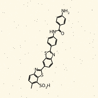 Cc1ccc2nc(-c3ccc4nc(-c5ccc(NC(=O)c6ccc(N)cc6)cc5)sc4c3)sc2c1S(=O)(=O)O